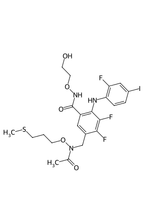 CSCCCON(Cc1cc(C(=O)NOCCO)c(Nc2ccc(I)cc2F)c(F)c1F)C(C)=O